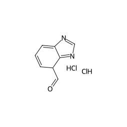 Cl.Cl.O=CC1C=CC=C2N=CN=C21